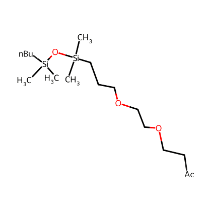 CCCC[Si](C)(C)O[Si](C)(C)CCCOCCOCCC(C)=O